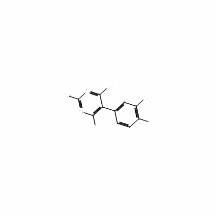 CCc1nc(N)nc(N)c1-c1ccc(Cl)c(N)c1